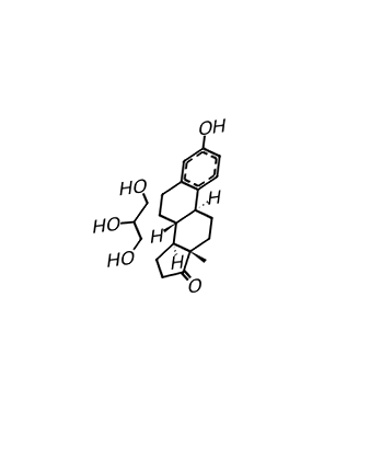 C[C@]12CC[C@@H]3c4ccc(O)cc4CC[C@H]3[C@@H]1CCC2=O.OCC(O)CO